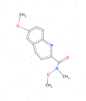 COc1ccc2nc(C(=O)N(C)OC)ccc2c1